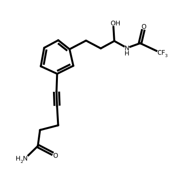 NC(=O)CCC#Cc1cccc(CCC(O)NC(=O)C(F)(F)F)c1